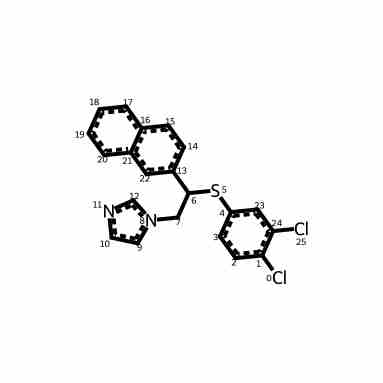 Clc1ccc(SC(Cn2ccnc2)c2ccc3ccccc3c2)cc1Cl